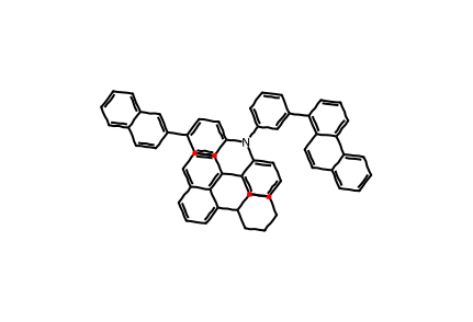 c1cc(-c2cccc3c2ccc2ccccc23)cc(N(c2ccc(-c3ccc4ccccc4c3)cc2)c2ccccc2-c2cccc3cccc(C4CCCCC4)c23)c1